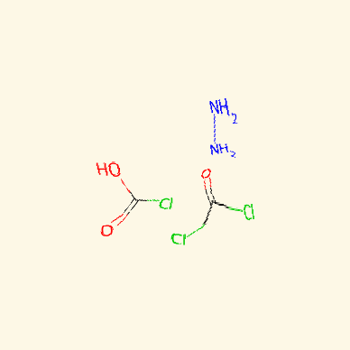 NN.O=C(Cl)Cl.O=C(O)Cl